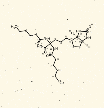 CCCCCC(=O)NC(CCC[C@@H]1SC[C@@H]2NC(=O)N[C@@H]21)(NC(=O)CCCCC)C(=O)O